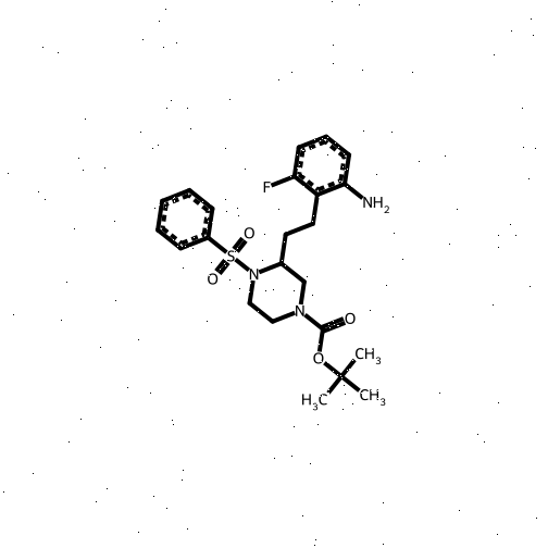 CC(C)(C)OC(=O)N1CCN(S(=O)(=O)c2ccccc2)C(CCc2c(N)cccc2F)C1